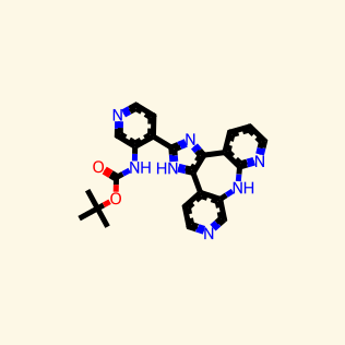 CC(C)(C)OC(=O)Nc1cnccc1-c1nc2c([nH]1)-c1ccncc1Nc1ncccc1-2